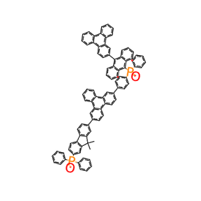 CC1(C)c2cc(-c3ccc4c5ccc(-c6ccc(P(=O)(c7ccccc7)c7c8ccccc8c(-c8ccc9c%10ccccc%10c%10ccccc%10c9c8)c8ccccc78)cc6)cc5c5ccccc5c4c3)ccc2-c2ccc(P(=O)(c3ccccc3)c3ccccc3)cc21